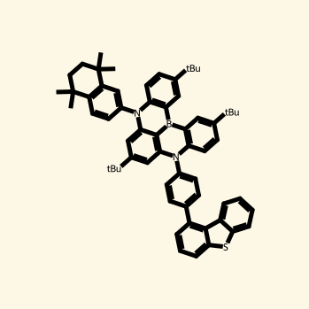 CC(C)(C)c1ccc2c(c1)B1c3cc(C(C)(C)C)ccc3N(c3ccc4c(c3)C(C)(C)CCC4(C)C)c3cc(C(C)(C)C)cc(c31)N2c1ccc(-c2cccc3sc4ccccc4c23)cc1